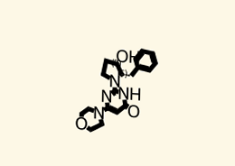 O=c1cc(N2CCOCC2)nc(N2CC[C@@H](O)[C@@H]2Cc2ccccc2)[nH]1